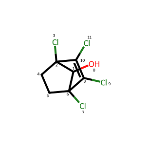 OC1C2(Cl)CCC1(Cl)C(Cl)=C2Cl